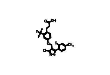 Cc1ccc(-c2snc(Cl)c2COc2ccc(CCC(=O)O)c(C(F)(F)F)c2)c(F)c1